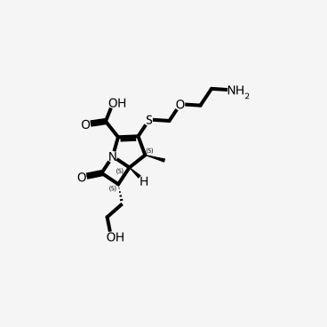 C[C@@H]1C(SCOCCN)=C(C(=O)O)N2C(=O)[C@@H](CCO)[C@@H]12